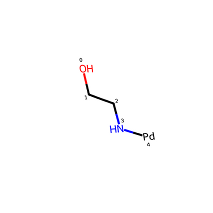 OCC[NH][Pd]